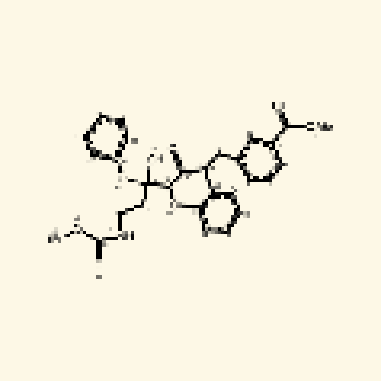 COC(=O)c1cccc(CN2C(=O)C(C(C)(CCNC(=O)OC(C)(C)C)Oc3ccccc3)Oc3ccccc32)c1